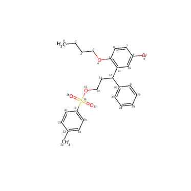 CCCCOc1ccc(Br)cc1C(CCOS(=O)(=O)c1ccc(C)cc1)c1ccccc1